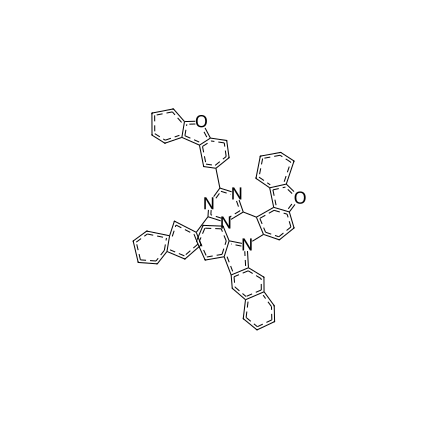 c1ccc2cc(-c3nc(-c4ccc5oc6ccccc6c5c4)nc(-c4c(-n5c6ccccc6c6cc7ccccc7cc65)ccc5oc6ccccc6c45)n3)ccc2c1